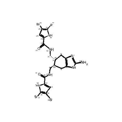 Nc1nc2c([nH]1)C[C@@H](CNC(=O)c1cc(Br)c(Br)[nH]1)[C@H](CNC(=O)c1cc(Br)c(Br)[nH]1)C2